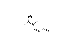 C=C/C=C\C(C)=C(/C)CCC